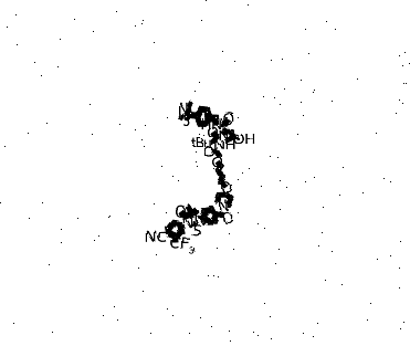 Cc1ncsc1-c1ccc(CNC(=O)[C@@H]2C[C@@H](O)CN2C(=O)C(NC(=O)COCCCCOC2CCN(C(=O)c3ccc(N4C(=S)N(c5ccc(C#N)c(C(F)(F)F)c5)C(=O)C4(C)C)cc3)CC2)C(C)(C)C)cc1